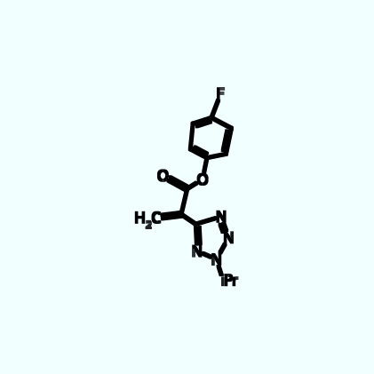 C=C(C(=O)Oc1ccc(F)cc1)c1nnn(C(C)C)n1